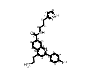 CCCc1cc(-c2ccc(F)cc2)nc2cc(C(=O)NCCCc3cc[nH]n3)ccc12